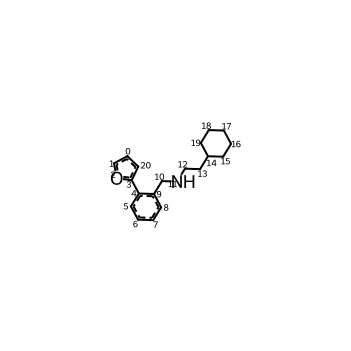 c1coc(-c2ccccc2CNCCC2CCCCC2)c1